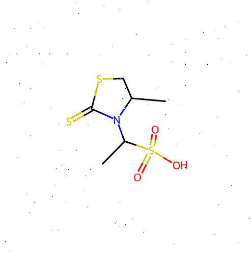 CC1CSC(=S)N1C(C)S(=O)(=O)O